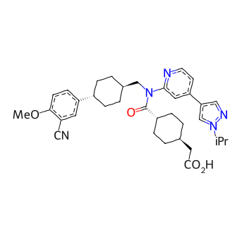 COc1ccc([C@H]2CC[C@H](CN(c3cc(-c4cnn(C(C)C)c4)ccn3)C(=O)[C@H]3CC[C@H](CC(=O)O)CC3)CC2)cc1C#N